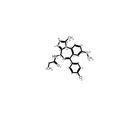 CCC(=O)N[C@@H]1N=C(c2ccc(Cl)cc2)c2cc(OC)ccc2-n2c(C)nnc21